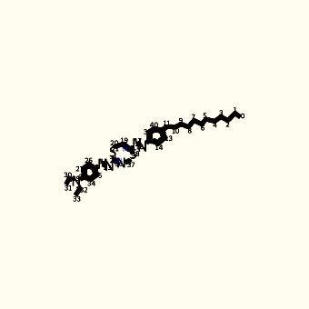 CCCCCCCCCCCCc1ccc(N=N/C2=C/CS/C(N=Nc3ccc(N(CC)CC)cc3)=N\CS2)cc1